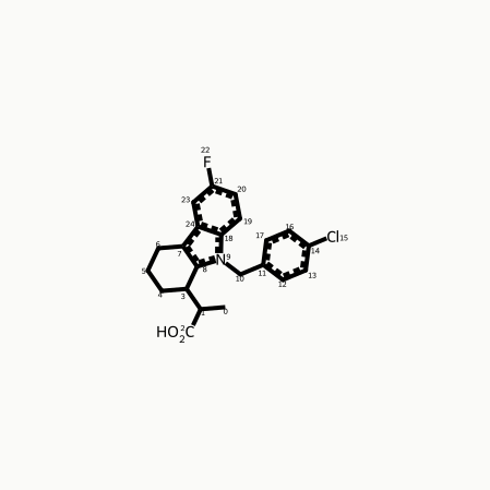 CC(C(=O)O)C1CCCc2c1n(Cc1ccc(Cl)cc1)c1ccc(F)cc21